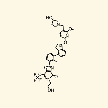 COc1nc(O[C@H]2CCc3c(-c4cccc(-c5nc6c(=O)n(CCO)cc(OC(F)(F)F)c6o5)c4C)cccc32)ccc1CN1CC[C@@H](O)C1